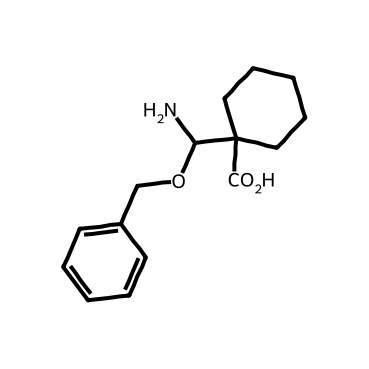 NC(OCc1ccccc1)C1(C(=O)O)CCCCC1